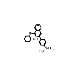 CN(C)c1ccc(-c2cc3ncccc3c(N[C@@H]3CCCC[C@@H]3N)n2)cc1